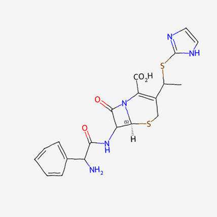 CC(Sc1ncc[nH]1)C1=C(C(=O)O)N2C(=O)C(NC(=O)C(N)c3ccccc3)[C@@H]2SC1